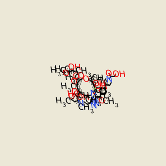 CC[C@H]1OC(=O)[C@H](C)[C@@H](OC2C[C@@](C)(OC)[C@@H](O)[C@H](C)O2)[C@H](C)[C@@H](O[C@@H]2O[C@H](C)C[C@H](N(C)CCc3cn([C@H](CF)[C@H](OC)c4ccc(C5=CCN(C(=O)CO)CC5)cc4)nn3)[C@H]2O)[C@](C)(O)C[C@@H](C)CN(C)[C@H](C)[C@@H](O)[C@]1(C)O